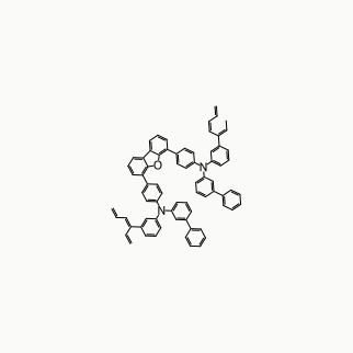 C=C/C=C\C(=C/C)c1cccc(N(c2ccc(-c3cccc4c3oc3c(-c5ccc(N(c6cccc(/C(C=C)=C/C=C)c6)c6cccc(-c7ccccc7)c6)cc5)cccc34)cc2)c2cccc(-c3ccccc3)c2)c1